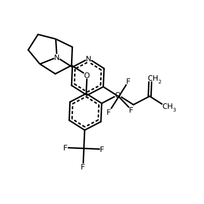 C=C(C)COc1cc(C(F)(F)F)ccc1OC1CC2CCC(C1)N2c1ccc(C(F)(F)F)cn1